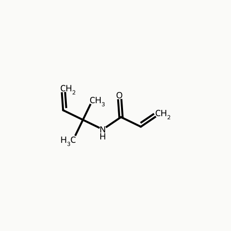 C=CC(=O)NC(C)(C)C=C